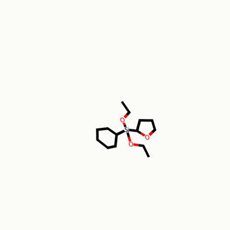 CCO[Si](OCC)(C1CCCCC1)C1CCCO1